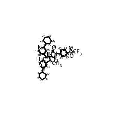 CC(c1ccnc(C2CCCCC2)c1)C1(C(C)c2ccnc(C3CCCCC3)c2)NC(=O)N(c2ccc(S(=O)(=O)C(F)(F)F)cc2)C1=O